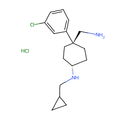 Cl.NC[C@]1(c2cccc(Cl)c2)CC[C@@H](NCC2CC2)CC1